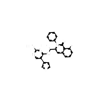 C[C@H](Nc1nc(N)ncc1-c1ccsc1)c1cc2cccc(Cl)c2c(=O)n1-c1ccccc1